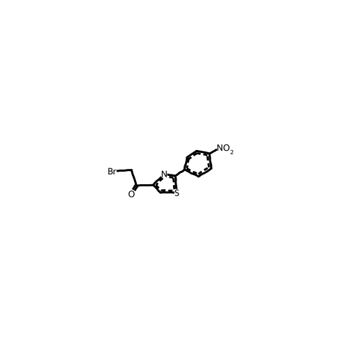 O=C(CBr)c1csc(-c2ccc([N+](=O)[O-])cc2)n1